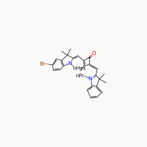 CCCCCCN1C(=CC2=C(C)C(=CC3=[N+](CCC)c4ccccc4C3(C)C)C2=O)C(C)(C)c2cc(Br)ccc21